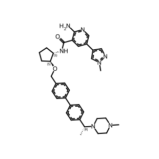 C[C@H](c1ccc(-c2ccc(CO[C@H]3CCC[C@@H]3NC(=O)c3cc(-c4cnn(C)c4)cnc3N)cc2)cc1)N1CCN(C)CC1